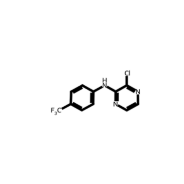 FC(F)(F)c1ccc(Nc2nccnc2Cl)cc1